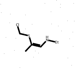 CCN/C=C(/C)SCCl